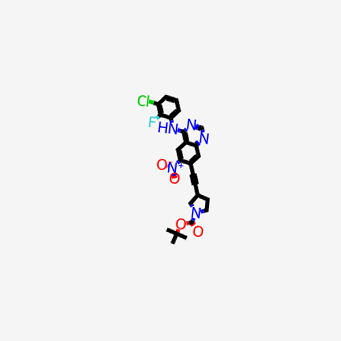 CC(C)(C)OC(=O)N1CCC(C#Cc2cc3ncnc(Nc4cccc(Cl)c4F)c3cc2[N+](=O)[O-])C1